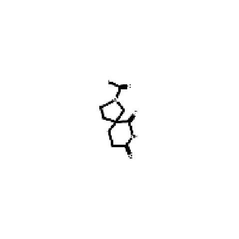 O=C1CCC2(CCN(C(=O)I)C2)C(=O)N1